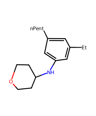 CCCCCc1cc(CC)cc(NC2CCOCC2)c1